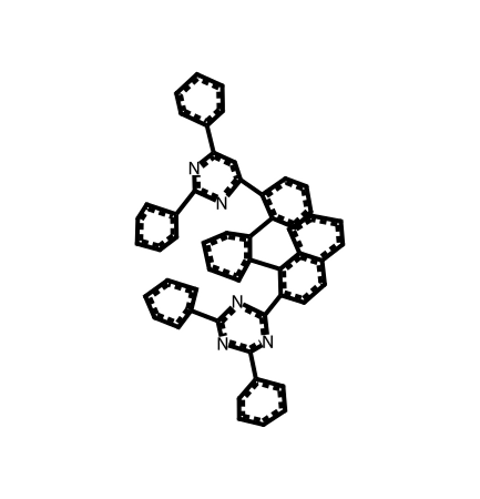 c1ccc(-c2cc(-c3ccccc3-c3ccccc3-c3c(-c4nc(-c5ccccc5)nc(-c5ccccc5)n4)ccc4ccccc34)nc(-c3ccccc3)n2)cc1